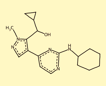 Cn1ncc(-c2ccnc(NC3CCCCC3)n2)c1C(O)C1CC1